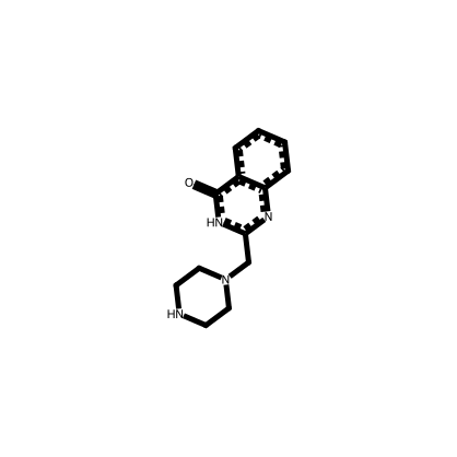 O=c1[nH]c(CN2CCNCC2)nc2ccccc12